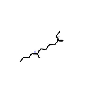 C=[PH](CC)CCCC/C(C)=C/CCC